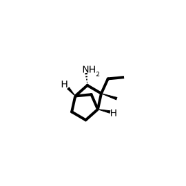 CC[C@]1(C)[C@@H]2CC[C@@H](C2)[C@@H]1N